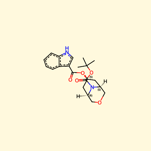 CC(C)(C)OC(=O)N1[C@@H]2COC[C@H]1C[C@@H](OC(=O)c1c[nH]c3ccccc13)C2